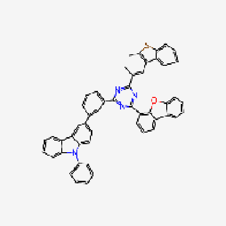 C/C(=C\c1c(C)sc2ccccc12)c1nc(-c2cccc(-c3ccc4c(c3)c3ccccc3n4-c3ccccc3)c2)nc(-c2cccc3c2oc2ccccc23)n1